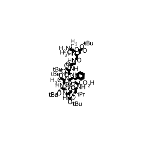 CC(C)[C@H](NC(=O)[C@H](CC(=O)OC(C)(C)C)NC(=O)[C@H](COC(C)(C)C)NC(=O)[C@@H](NC(=O)[C@H](Cc1ccccc1)NC(=O)[C@@H](NC(=O)CNC(=O)[C@H](CCC(=O)OC(C)(C)C)NC(=O)C(C)(C)N)[C@@H](C)OC(C)(C)C)[C@@H](C)OC(C)(C)C)C(=O)N[C@@H](CO)C(=O)O